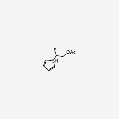 CC(=O)OCC(F)[SH]1C=CC=C1